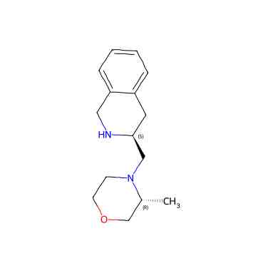 C[C@@H]1COCCN1C[C@@H]1Cc2ccccc2CN1